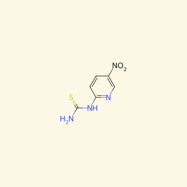 NC(=S)Nc1ccc([N+](=O)[O-])cn1